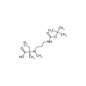 CC[C@@](C)(C(=O)O)N(C)CCCNC(=O)OC(C)(C)C